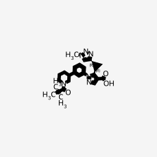 Cn1cc([C@@H]2C[C@H]2c2c(C(=O)O)cnn2-c2cccc(C3CCCN(C(=O)C(C)(C)C)C3)c2)nn1